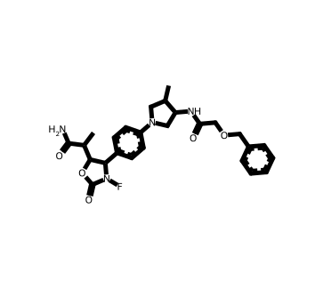 CC1CN(c2ccc(C3C(C(C)C(N)=O)OC(=O)N3F)cc2)CC1NC(=O)COCc1ccccc1